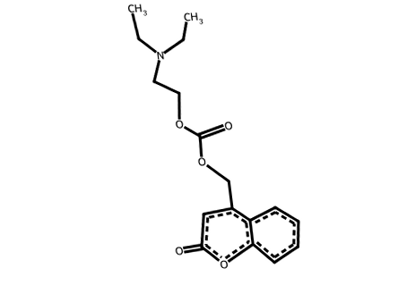 CCN(CC)CCOC(=O)OCc1cc(=O)oc2ccccc12